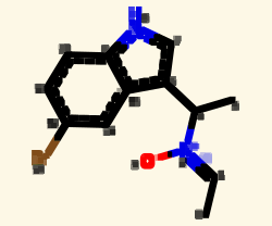 C/C=[N+](\[O-])C(C)c1c[nH]c2ccc(Br)cc12